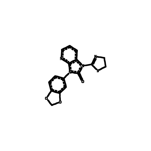 O=c1n(C2=NCCS2)c2cccnc2n1-c1ccc2c(c1)OCO2